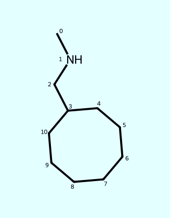 CNCC1CCCCCCC1